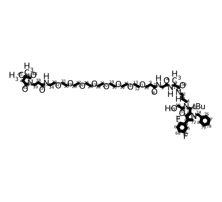 C[C@H](NC(=O)CNC(=O)CCOCCOCCOCCOCCOCCOCCOCCOCCNC(=O)CCN1C(=O)CC(C)(C)C1=O)C(=O)NCCCN(C(=O)CO)[C@@H](c1cc(-c2cc(F)ccc2F)cn1Cc1ccccc1)C(C)(C)C